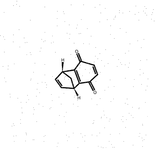 O=C1C=CC(=O)C2=C1[C@@H]1C=C[C@H]2C1